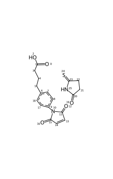 O=C(O)CCCc1ccc(N2C(=O)C=CC2=O)cc1.O=C1CCC(=S)N1